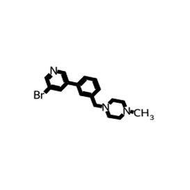 CN1CCN(Cc2cccc(-c3cncc(Br)c3)c2)CC1